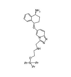 CC(C)[Si](OCCNCc1nnc2ccc(O[C@@H]3CC[C@H](N)c4ccccc43)cn12)(C(C)C)C(C)C